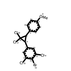 COc1ccc(C2C(c3cc(Cl)c(Br)c(Cl)c3)C2(Cl)Cl)cc1